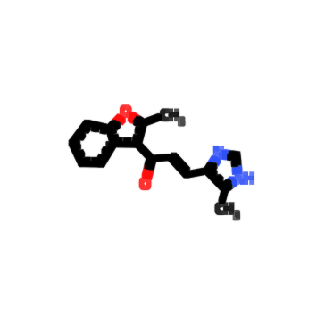 Cc1[nH]cnc1C=CC(=O)c1c(C)oc2ccccc12